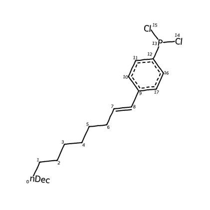 CCCCCCCCCCCCCCCCC=Cc1ccc(P(Cl)Cl)cc1